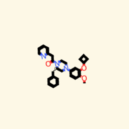 COc1ccc(N2CCN(C(=O)Cc3ccccn3)[C@@H](Cc3ccccc3)C2)cc1OC1CCC1